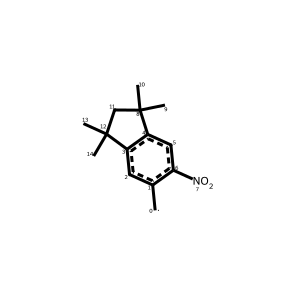 [CH2]c1cc2c(cc1[N+](=O)[O-])C(C)(C)CC2(C)C